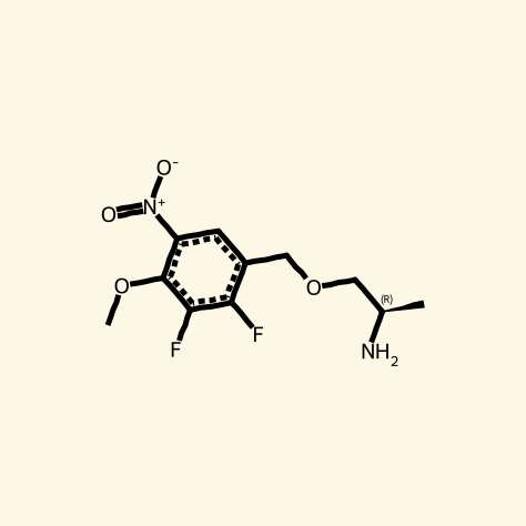 COc1c([N+](=O)[O-])cc(COC[C@@H](C)N)c(F)c1F